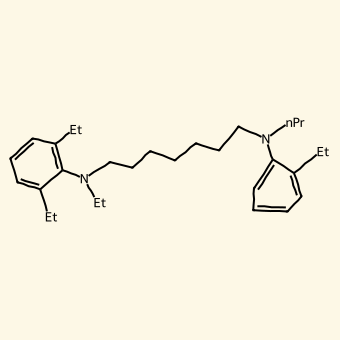 CCCN(CCCCCCCN(CC)c1c(CC)cccc1CC)c1ccccc1CC